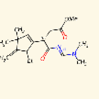 C=C1C(CC)C([C@H](CC(=O)OC)C(=O)/N=C/N(C)C)=CC1(C)C